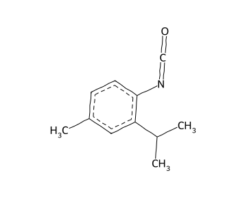 Cc1ccc(N=C=O)c(C(C)C)c1